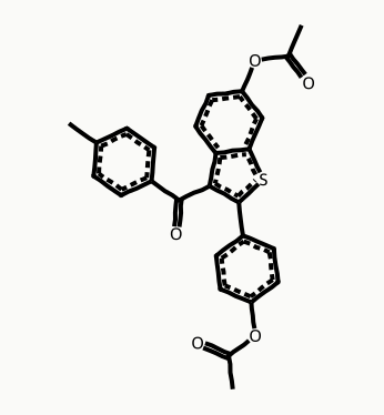 CC(=O)Oc1ccc(-c2sc3cc(OC(C)=O)ccc3c2C(=O)c2ccc(C)cc2)cc1